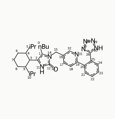 CCCCc1c(C2C(C(C)C)CCCC2C(C)C)[nH]c(=O)n1Cc1ccc(-c2ccccc2-c2nnn[nH]2)nc1